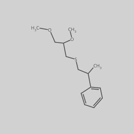 COCC(CSCC(C)c1ccccc1)OC